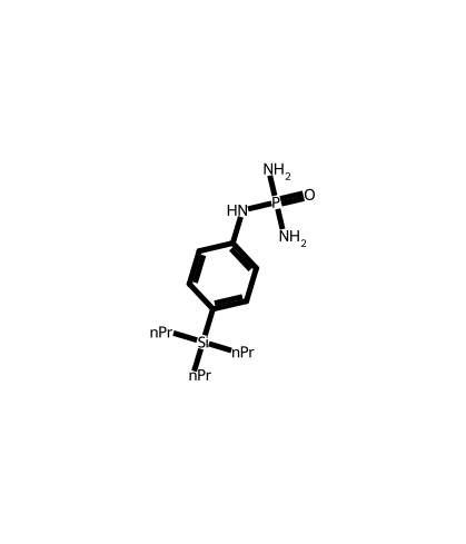 CCC[Si](CCC)(CCC)c1ccc(NP(N)(N)=O)cc1